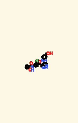 COc1ccccc1C(=O)Nc1ccc(C(=O)c2c[nH]c3nccc(NC4CCC(CO)CC4)c23)c(Cl)c1